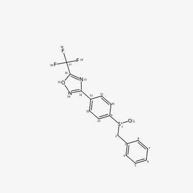 [O-][S+](Cc1ccccc1)c1ccc(-c2noc(C(F)(F)F)n2)cc1